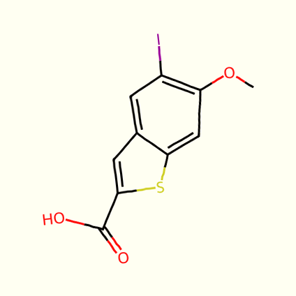 COc1cc2sc(C(=O)O)cc2cc1I